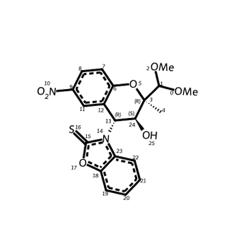 COC(OC)[C@]1(C)Oc2ccc([N+](=O)[O-])cc2[C@@H](n2c(=S)oc3ccccc32)[C@@H]1O